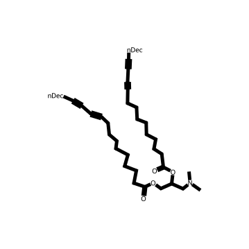 CCCCCCCCCCC#CC#CCCCCCCCCC(=O)OCC(CN(C)C)OC(=O)CCCCCCCCC#CC#CCCCCCCCCCC